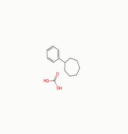 O=C(O)O.c1ccc(C2CCCCCC2)cc1